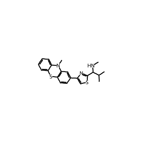 CNC(c1nc(-c2ccc3c(c2)N(C)c2ccccc2S3)cs1)C(C)C